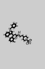 Cc1cccc(C(CC(=O)NCCC2CCN(C(=O)O)CC2)c2cn(Cc3ccccc3)c3ccccc23)c1